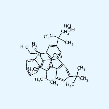 Cl.Cl.[CH2]=[Zr]([CH2]C)([C]1=C(C)C(C(C)C)=CC1C)([c]1ccccc1)[c]1cc(C(C)(C)C)cc2c1Cc1ccc(C(C)(C)C)cc1-2